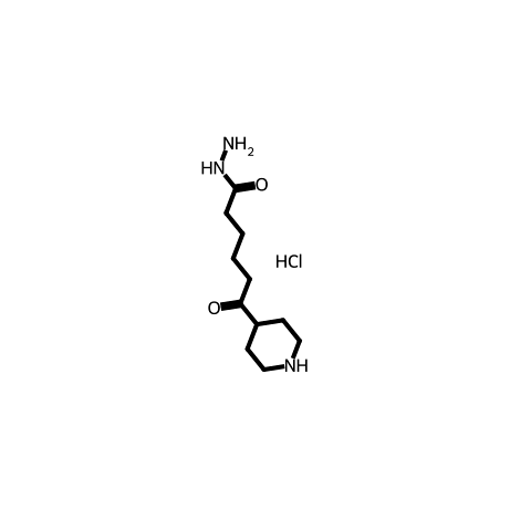 Cl.NNC(=O)CCCCC(=O)C1CCNCC1